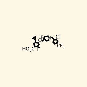 O=C(O)c1cc(C2CC2)c(OCC2(F)CCN(Cc3ccc(C(F)(F)F)cc3Cl)CC2)cc1F